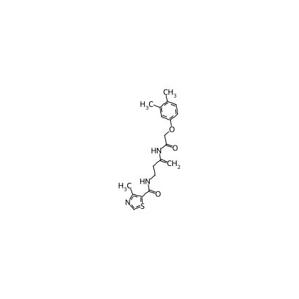 C=C(CCNC(=O)c1scnc1C)NC(=O)COc1ccc(C)c(C)c1